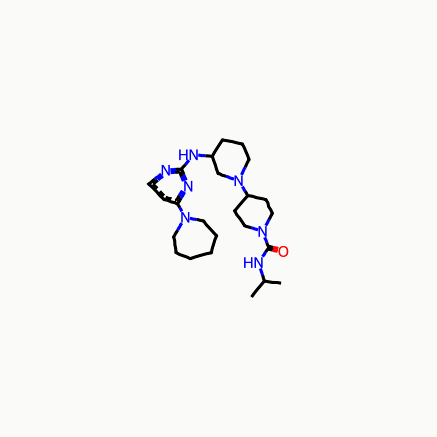 CC(C)NC(=O)N1CCC(N2CCCC(Nc3nccc(N4CCCCCC4)n3)C2)CC1